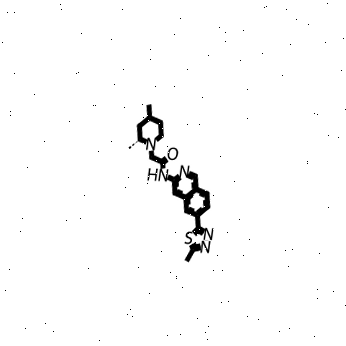 Cc1nnc(-c2ccc3cnc(NC(=O)CN4CCC(C)C[C@H]4C)cc3c2)s1